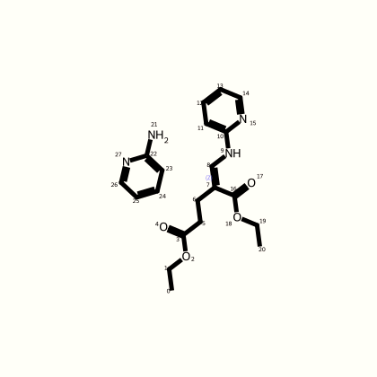 CCOC(=O)CC/C(=C/Nc1ccccn1)C(=O)OCC.Nc1ccccn1